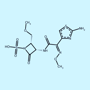 COC[C@@H]1[C@H](NC(=O)C(=NOC)c2csc(N)n2)C(=O)N1S(=O)(=O)O